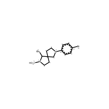 CC(C)(C)C1N(C(=O)O)CCC12CCN(c1ccc(Br)cc1)C2